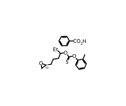 CCC(CCC[C@H]1CO1)OC(=S)Oc1ccccc1C.O=C(O)c1ccccc1